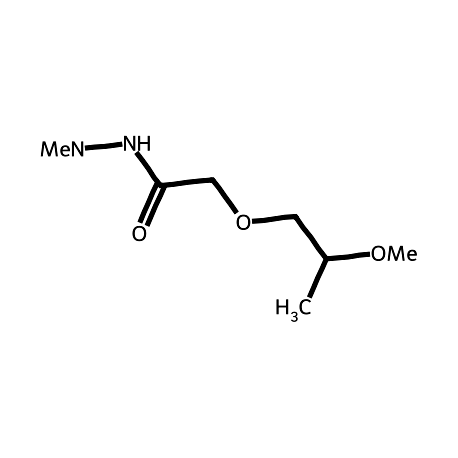 CNNC(=O)COCC(C)OC